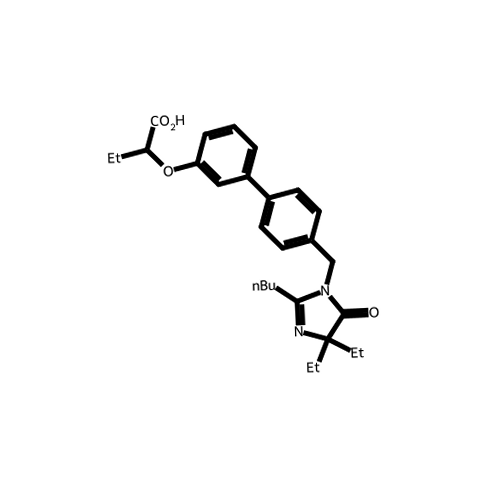 CCCCC1=NC(CC)(CC)C(=O)N1Cc1ccc(-c2cccc(OC(CC)C(=O)O)c2)cc1